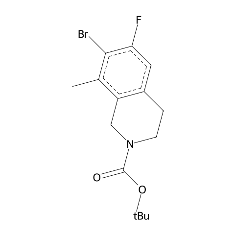 Cc1c(Br)c(F)cc2c1CN(C(=O)OC(C)(C)C)CC2